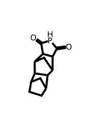 O=C1PC(=O)C2C3CC(C12)C1C2CCC(C2)C31